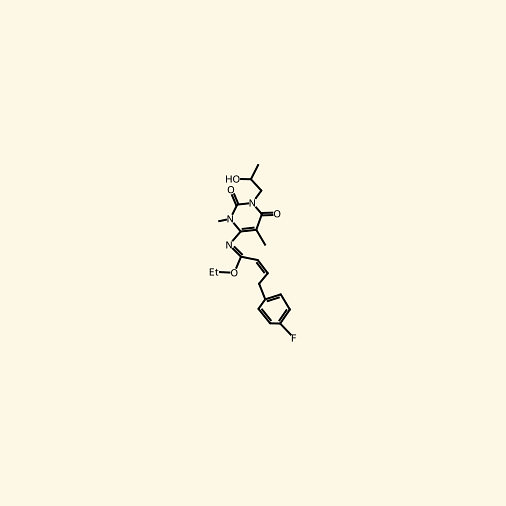 CCOC(/C=C\Cc1ccc(F)cc1)=N/c1c(C)c(=O)n(CC(C)O)c(=O)n1C